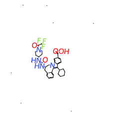 O=C(NC1CCN(C(=O)C(F)(F)F)CC1)NC1Cc2ccccc2-c2c(C3CCCCC3)c3ccc(C(=O)O)cc3n2C1